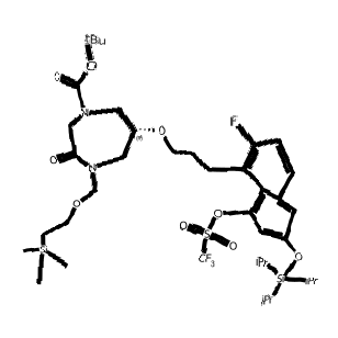 CC(C)[Si](Oc1cc(OS(=O)(=O)C(F)(F)F)c2c(CCCO[C@@H]3CN(COCC[Si](C)(C)C)C(=O)CN(C(=O)OC(C)(C)C)C3)c(F)ccc2c1)(C(C)C)C(C)C